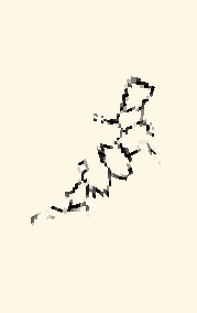 Cc1cc(Cn2nc(C(F)(F)F)cc2C)ccc1N1C(=O)c2ccccc2C1=O